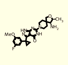 COc1cc(F)cc(C2(c3n[nH]c4nc(N5CCC6(CC5)CO[C@@H](C)[C@H]6N)[nH]c(=O)c34)CC2)c1